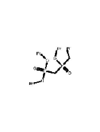 CC(C)CP(=O)(CP(=O)(OC(C)C)OC(C)C)OC(C)C